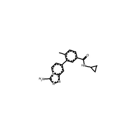 Cc1ccc(C(=O)NC2CC2)cc1-c1ccn2c(N)nnc2c1